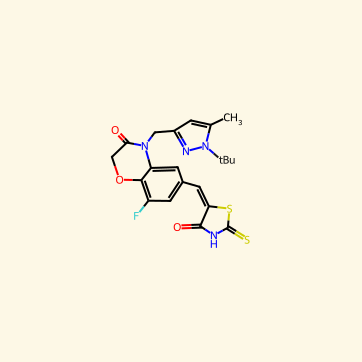 Cc1cc(CN2C(=O)COc3c(F)cc(C=C4SC(=S)NC4=O)cc32)nn1C(C)(C)C